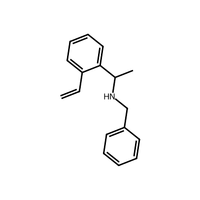 C=Cc1ccccc1C(C)NCc1ccccc1